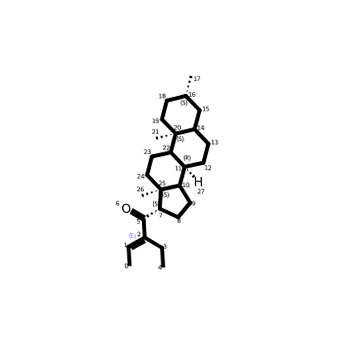 C/C=C(\CC)C(=O)[C@H]1CCC2[C@@H]3CCC4C[C@@H](C)CC[C@]4(C)C3CC[C@@]21C